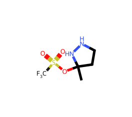 CC1(OS(=O)(=O)C(F)(F)F)CCNN1